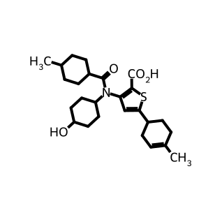 CC1=CCC(c2cc(N(C(=O)C3CCC(C)CC3)C3CCC(O)CC3)c(C(=O)O)s2)CC1